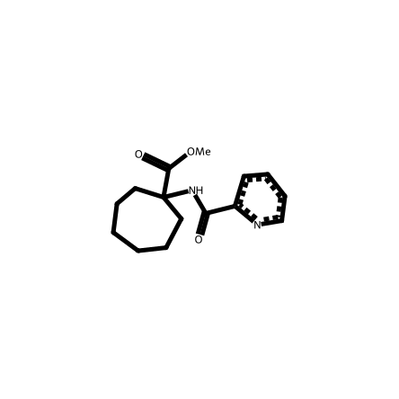 COC(=O)C1(NC(=O)c2ccccn2)CCCCCC1